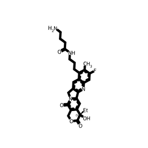 CC[C@@]1(O)C(=O)OCc2c1cc1n(c2=O)Cc2cc3c(CCCNC(=O)CCCN)c(C)c(F)cc3nc2-1